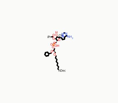 CCCCCCCCCCCCCCCCCCOC[C@H](COP(=O)(O)OC[C@H]1O[C@@](C#N)(c2ccc3c(N)ncnn23)[C@H](O)[C@@H]1OC(=O)C(C)C)OCc1ccccc1